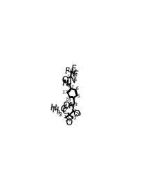 CON(Cc1ccc(-c2noc(C(F)(F)F)n2)cc1)C(=O)C1(C)COC1